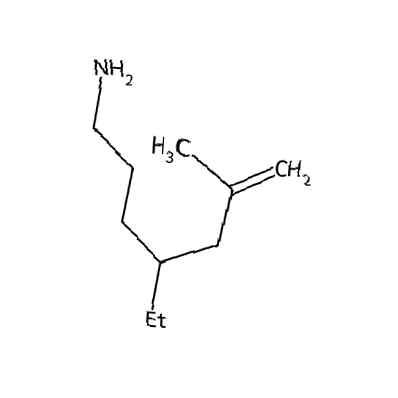 C=C(C)CC(CC)CCCN